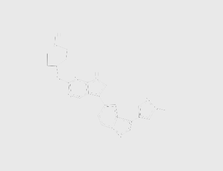 CN1CCC(Nc2ncc3c(-c4ccn5ncc(-c6cnn(C)c6)c5c4)c[nH]c3n2)CC1